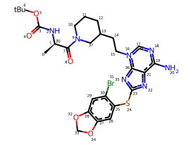 C[C@@H](NC(=O)OC(C)(C)C)C(=O)N1CCCC(CCn2cnc(N)c3nc(Sc4cc5c(cc4Br)OCO5)nc2-3)C1